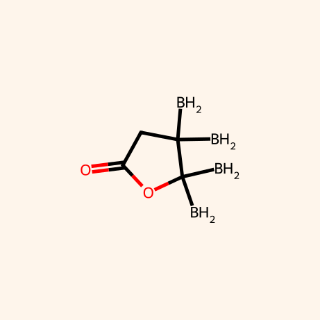 BC1(B)CC(=O)OC1(B)B